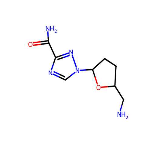 NCC1CCC(n2cnc(C(N)=O)n2)O1